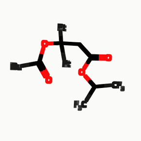 CCC(C)C(=O)OC(CC)(CC)CC(=O)OC(C(F)(F)F)C(F)(F)F